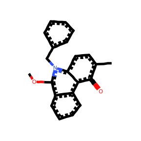 COc1c2ccccc2c2c(=O)c(C)ccc-2n1Cc1ccccc1